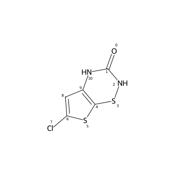 O=C1NSc2sc(Cl)cc2N1